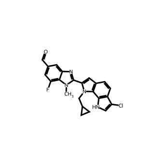 Cn1c(-c2cc3ccc4c(Cl)c[nH]c4c3n2CC2CC2)nc2cc(C=O)cc(F)c21